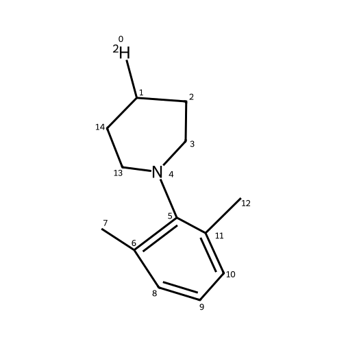 [2H]C1CCN(c2c(C)cccc2C)CC1